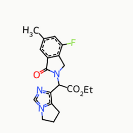 CCOC(=O)C(c1ncn2c1CCC2)N1Cc2c(F)cc(C)cc2C1=O